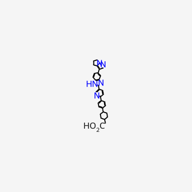 O=C(O)CC1CCC(c2ccc(-c3ccc(-c4nc5cc(-c6cnn7c6CCC7)ccc5[nH]4)cn3)cc2)CC1